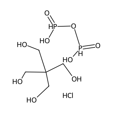 Cl.O=[PH](O)O[PH](=O)O.OCC(CO)(CO)CO